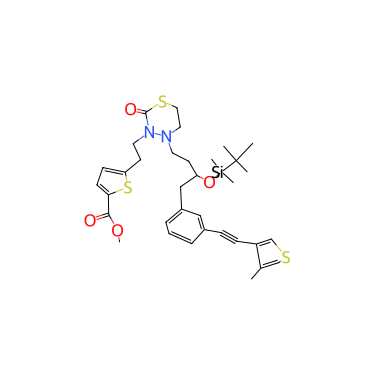 COC(=O)c1ccc(CCN2C(=O)SCCN2CCC(Cc2cccc(C#Cc3cscc3C)c2)O[Si](C)(C)C(C)(C)C)s1